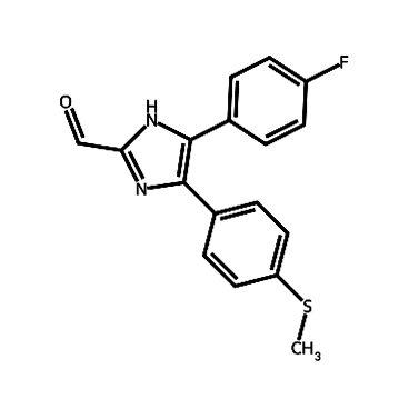 CSc1ccc(-c2nc(C=O)[nH]c2-c2ccc(F)cc2)cc1